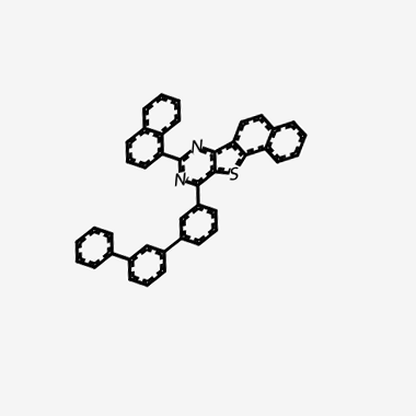 c1ccc(-c2cccc(-c3cccc(-c4nc(-c5cccc6ccccc56)nc5c4sc4c6ccccc6ccc54)c3)c2)cc1